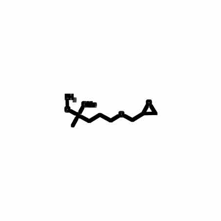 CO[Si](C)(CCCOCC1CO1)OP